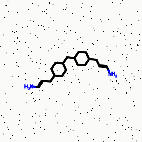 NC=CCC1CCC(CC2CCC(CC=CN)CC2)CC1